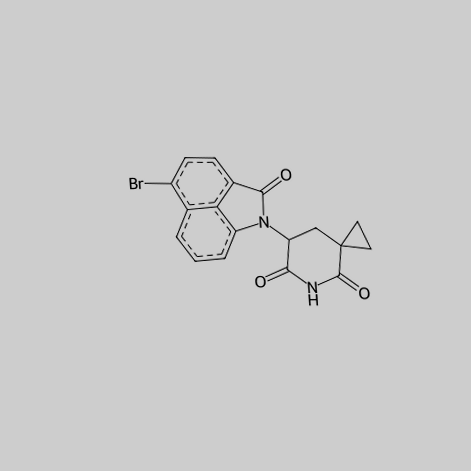 O=C1NC(=O)C2(CC2)CC1N1C(=O)c2ccc(Br)c3cccc1c23